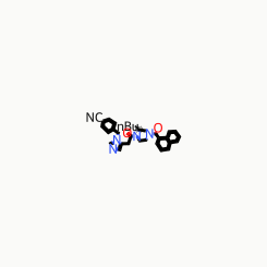 CCCC[C@H]1CN(C(=O)c2cccc3ccccc23)CCN1C(=O)Cc1cncn1Cc1ccc(C#N)cc1